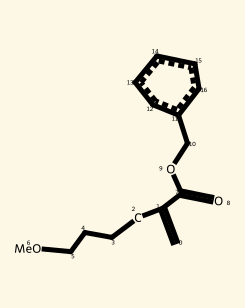 C=C(CCCCOC)C(=O)OCc1ccccc1